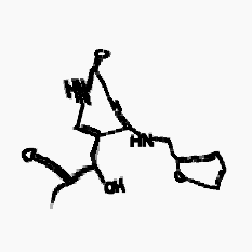 CC(=O)C(O)c1c[nH]c(=O)nc1NCc1ccco1